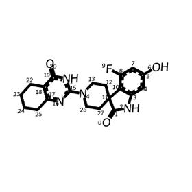 O=C1Nc2cc(O)cc(F)c2C12CCN(c1nc3c(c(=O)[nH]1)CCCC3)CC2